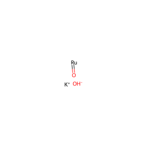 [K+].[OH-].[O]=[Ru]